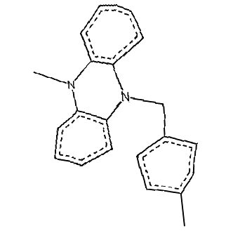 Cc1ccc(CN2c3ccccc3N(C)c3ccccc32)cc1